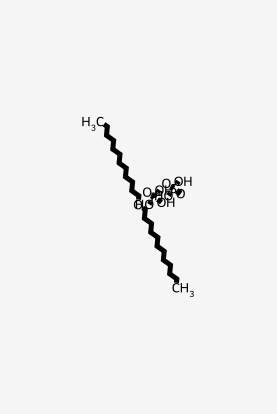 CCCCCCCCCCCCOCCCCCCCCCCCC.O=P(O)(O)O.O=S(=O)(O)O